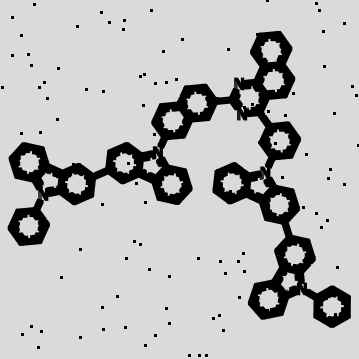 c1ccc(-n2c3ccccc3c3cc(-c4ccc5c(c4)c4ccccc4n5-c4cccc(-c5nc(-c6ccc7ccc(-n8c9ccccc9c9cc(-c%10ccc%11c(c%10)c%10ccccc%10n%11-c%10ccccc%10)ccc98)cc7c6)nc6c5ccc5ccccc56)c4)ccc32)cc1